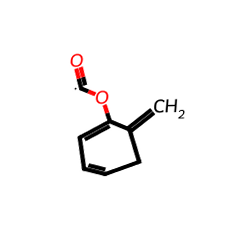 C=C1CC=CC=C1O[C]=O